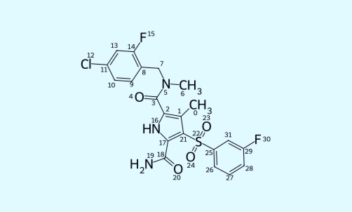 Cc1c(C(=O)N(C)Cc2ccc(Cl)cc2F)[nH]c(C(N)=O)c1S(=O)(=O)c1cccc(F)c1